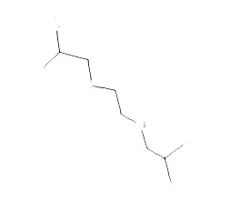 BrC(Br)C[SiH2]CC[SiH2]CC(Br)Br